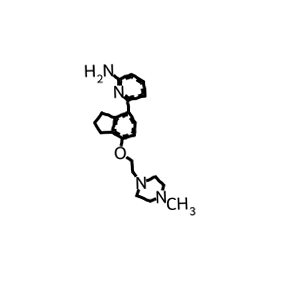 CN1CCN(CCOc2ccc(-c3cccc(N)n3)c3c2CCC3)CC1